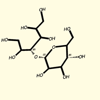 OCC(O)C(O)[C@H](O[C@@H]1OC(CO)[C@H](O)C(O)C1O)C(O)CO